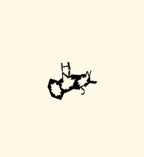 Cc1nc2[nH]c3ccccc3c2s1